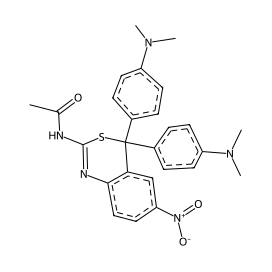 CC(=O)NC1=Nc2ccc([N+](=O)[O-])cc2C(c2ccc(N(C)C)cc2)(c2ccc(N(C)C)cc2)S1